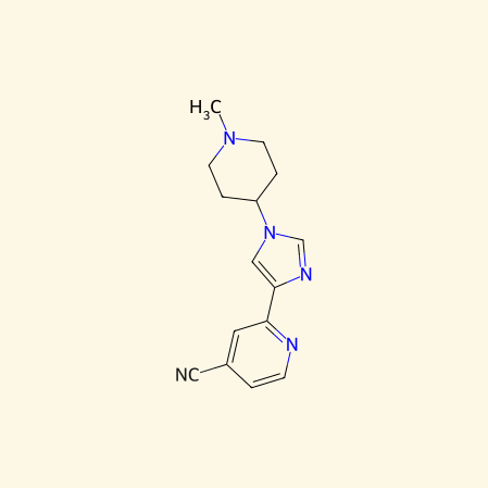 CN1CCC(n2cnc(-c3cc(C#N)ccn3)c2)CC1